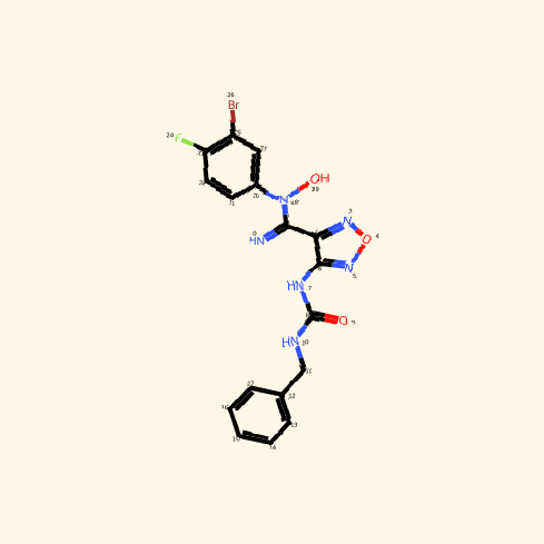 N=C(c1nonc1NC(=O)NCc1ccccc1)N(O)c1ccc(F)c(Br)c1